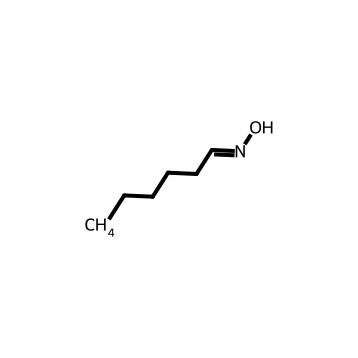 C.CCCCCC=NO